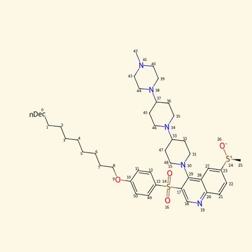 CCCCCCCCCCCCCCCCCCOc1ccc(S(=O)(=O)c2cnc3ccc([S@+](C)[O-])cc3c2N2CCC(N3CCC(N4CCN(C)CC4)CC3)CC2)cc1